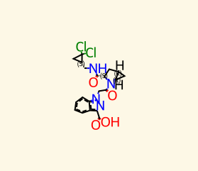 O=C(O)c1nn(CC(=O)N2[C@@H]3C[C@@H]3C[C@H]2C(=O)NC[C@@H]2CC2(Cl)Cl)c2ccccc12